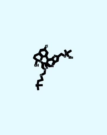 CC(C)(C)[Si](C)(C)OCc1cc2nccc(-c3cc(Cl)cc4c3N(c3cnn(COCC[Si](C)(C)C)c3)C(O)CC4)c2s1